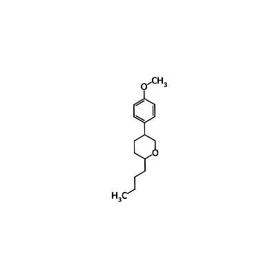 CCCCC1CCC(c2ccc(OC)cc2)CO1